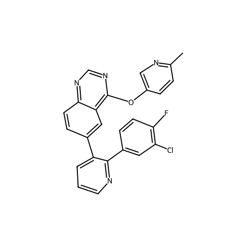 Cc1ccc(Oc2ncnc3ccc(-c4cccnc4-c4ccc(F)c(Cl)c4)cc23)cn1